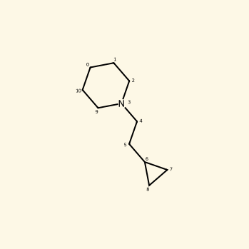 C1CCN(CCC2CC2)CC1